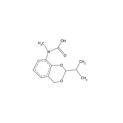 CC(C)C1OCc2cccc(N(C)C(=O)O)c2O1